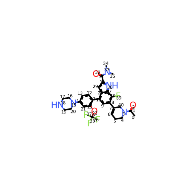 CC(=O)N1CCC=C(c2cc(-c3ccc(N4CCNCC4)cc3OC(F)(F)F)c3cc(C(=O)N(C)C)[nH]c3c2F)C1